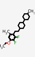 CCOc1cc(C)c(CCC2CCC(C3CCC(C)CC3)CC2)c(F)c1F